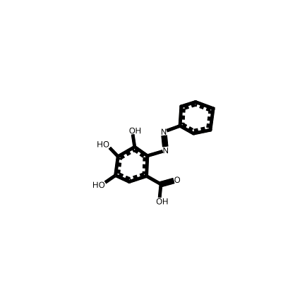 O=C(O)c1cc(O)c(O)c(O)c1/N=N/c1ccccc1